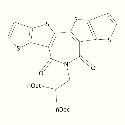 CCCCCCCCCCC(CCCCCCCC)Cn1c(=O)c2c3sccc3sc2c2sc3ccsc3c2c1=O